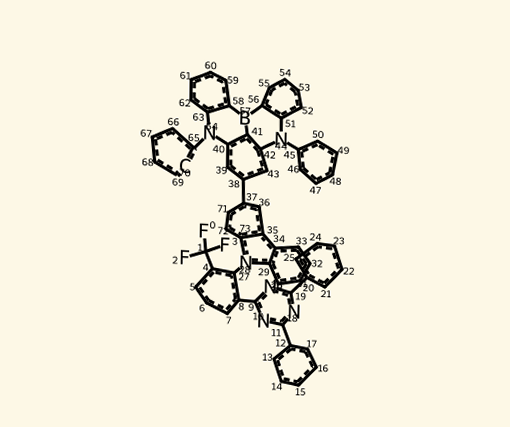 FC(F)(F)c1cccc(-c2nc(-c3ccccc3)nc(-c3ccccc3)n2)c1-n1c2ccccc2c2cc(-c3cc4c5c(c3)N(c3ccccc3)c3ccccc3B5c3ccccc3N4c3ccccc3)ccc21